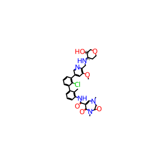 COc1cc(-c2cccc(-c3cccc(NC(=O)C4=CN(C)C5OC5N(C)C4=O)c3C)c2Cl)cnc1CN[C@@H]1CCOC[C@@H]1O